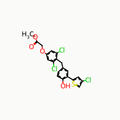 COC(=O)COc1cc(Cl)c(Cc2ccc(O)c(-c3cc(Cl)cs3)c2)c(Cl)c1